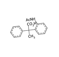 CC(=O)Nc1ccccc1C(C)(C(=O)O)c1ccccc1